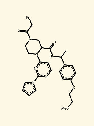 COCCOc1ccc(C(C)NC(=O)C2CN(C(=O)CC(C)C)CCN2c2ccnc(-n3ccnc3)n2)cc1